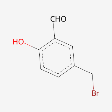 O=Cc1cc(CBr)ccc1O